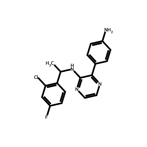 CC(Nc1nccnc1-c1ccc(N)cc1)c1ccc(F)cc1Cl